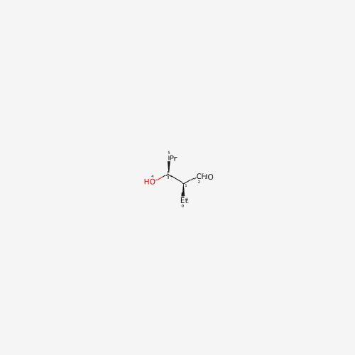 CC[C@H](C=O)[C@@H](O)C(C)C